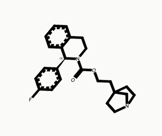 O=C(OCCC12CCN(CC1)C2)N1CCc2ccccc2[C@@H]1c1ccc(F)cc1